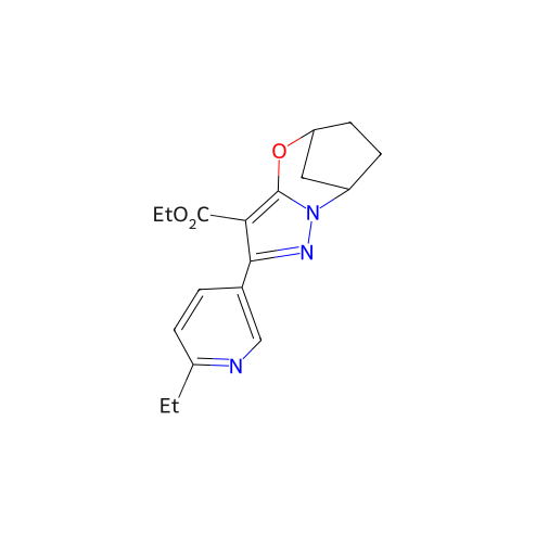 CCOC(=O)c1c(-c2ccc(CC)nc2)nn2c1OC1CCC2C1